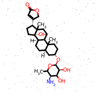 CC1O[C@@H](O[C@H]2CCC3(C)C4CCC5(C)[C@@H](C6=CC(=O)OC6)CC[C@]5(O)[C@@H]4CC[C@@H]3C2)[C@@H](O)C(O)[C@H]1N